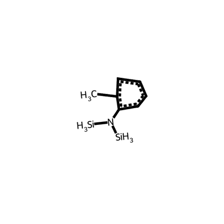 Cc1ccccc1N([SiH3])[SiH3]